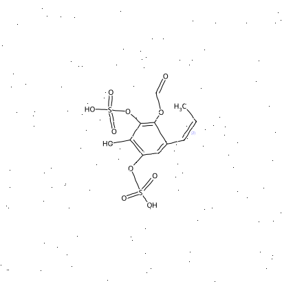 C/C=C\c1cc(OS(=O)(=O)O)c(O)c(OS(=O)(=O)O)c1OC=O